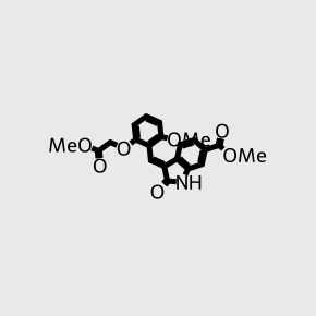 COC(=O)COc1cccc(OC)c1/C=C1/C(=O)Nc2cc(C(=O)OC)ccc21